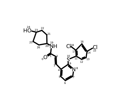 O=C(C=Cc1cccnc1Sc1ccc(Cl)cc1Cl)NC1CCC(O)CC1